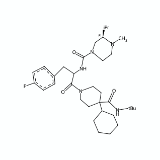 CC(C)[C@@H]1CN(C(=O)NC(Cc2ccc(F)cc2)C(=O)N2CCC(C(=O)NC(C)(C)C)(C3CCCCC3)CC2)CCN1C